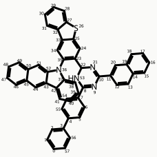 c1ccc(-c2ccc(C3=NC(c4ccc5ccccc5c4)=NC(c4cc5sc6ccccc6c5cc4-n4c5ccccc5c5cc6ccccc6cc54)N3)cc2)cc1